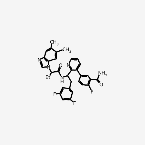 CCC(C(=O)NC(Cc1cc(F)cc(F)c1)c1ncccc1-c1ccc(F)c(C(N)=O)c1)n1cnc2cc(C)c(C)cc21